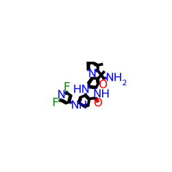 Cc1cccnc1C(C)(C(N)=O)c1ccc2c(c1)NC(=O)c1ccc(Nc3cc(F)nc(F)c3)cc1N2